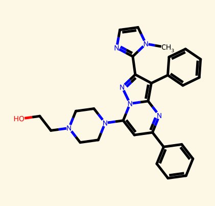 Cn1ccnc1-c1nn2c(N3CCN(CCO)CC3)cc(-c3ccccc3)nc2c1-c1ccccc1